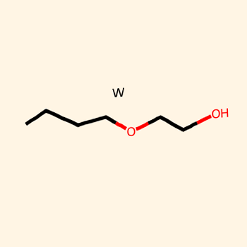 CCCCOCCO.[W]